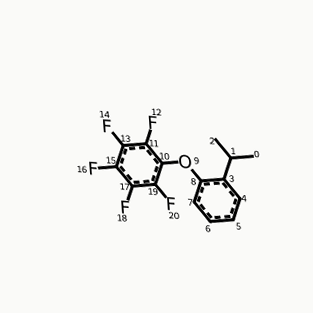 CC(C)c1ccccc1Oc1c(F)c(F)c(F)c(F)c1F